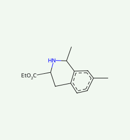 CCOC(=O)C1Cc2ccc(C)cc2C(C)N1